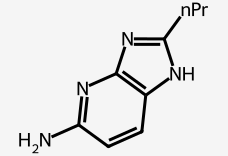 CCCc1nc2nc(N)ccc2[nH]1